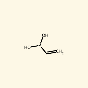 C=CP(O)O